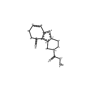 CC(C)(C)OC(=O)N1CCn2nc3c(c2C1)C(=O)CCC=C3